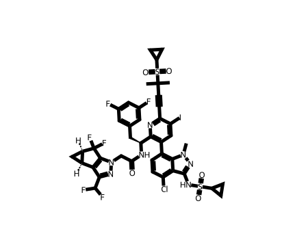 Cn1nc(NS(=O)(=O)C2CC2)c2c(Cl)ccc(-c3cc(I)c(C#CC(C)(C)S(=O)(=O)C4CC4)nc3[C@H](Cc3cc(F)cc(F)c3)NC(=O)Cn3nc(C(F)F)c4c3C(F)(F)[C@@H]3C[C@H]43)c21